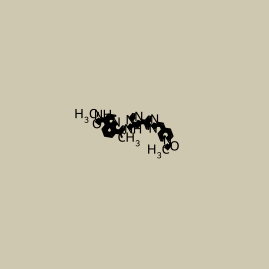 CNC(=O)c1ccnc2c([C@H](C)CNc3cc(-c4cnc(CC5CCN(C(C)=O)CC5)nc4)ncn3)cccc12